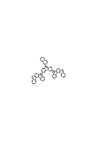 c1ccc2cc(-n3c4ccc(-n5c6ccccc6c6c7c(ccc65)sc5ccccc57)cc4c4cc(-n5c6ccccc6c6c7c(ccc65)sc5ccccc57)ccc43)ccc2c1